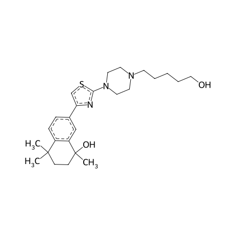 CC1(C)CCC(C)(O)c2cc(-c3csc(N4CCN(CCCCCO)CC4)n3)ccc21